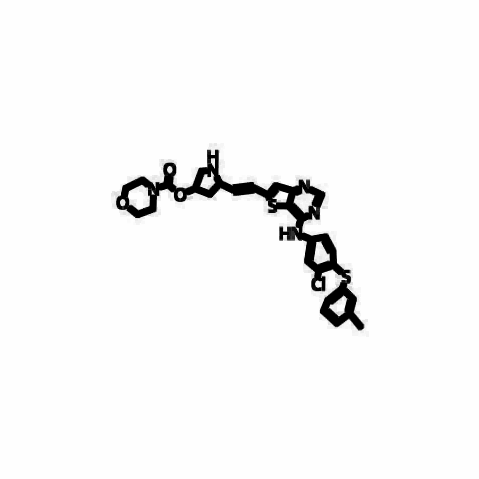 Cc1cccc(Sc2ccc(Nc3ncnc4cc(C#CC5CC(OC(=O)N6CCOCC6)CN5)sc34)cc2Cl)c1